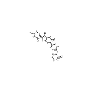 O=C1CCC(N2Cc3cc(N4CCN(Cc5ccccc5Cl)CC4)c(F)cc3C2=O)C(=O)N1